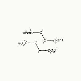 CCCCCOOCCCCC.O=C(O)CCC(=O)O